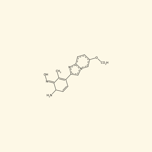 CC1=C(c2cn3cc(OC(=O)O)ccc3n2)C=CC(N)C1=NO